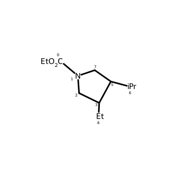 CCOC(=O)N1CC(CC)C(C(C)C)C1